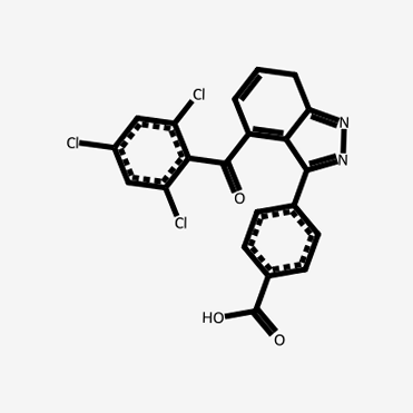 O=C(O)c1ccc(C2=NN=C3CC=CC(C(=O)c4c(Cl)cc(Cl)cc4Cl)=C32)cc1